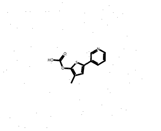 Cc1cc(-c2cccnc2)sc1OC(=O)O